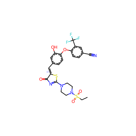 CCS(=O)(=O)N1CCN(C2=NC(=O)/C(=C/c3ccc(Oc4ccc(C#N)cc4C(F)(F)F)c(O)c3)S2)CC1